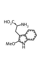 COc1[nH]c2ccccc2c1C[C@H](N)C(=O)O